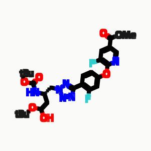 COC(=O)c1cnc(Oc2ccc(-c3nnn(C[C@H](CC(O)OC(C)(C)C)NC(=O)OC(C)(C)C)n3)c(F)c2)c(F)c1